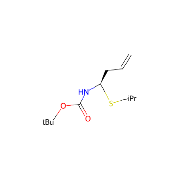 C=CC[C@H](NC(=O)OC(C)(C)C)SC(C)C